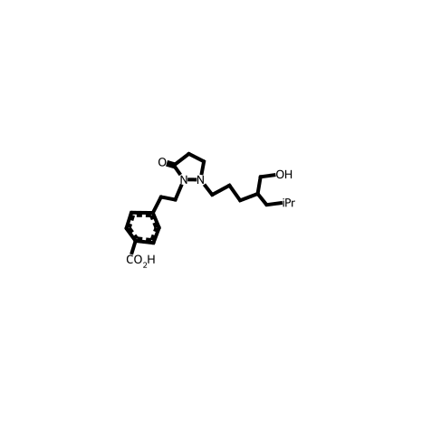 CC(C)CC(CO)CCCN1CCC(=O)N1CCc1ccc(C(=O)O)cc1